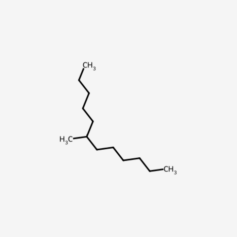 CCCCCC[C](C)CCCCC